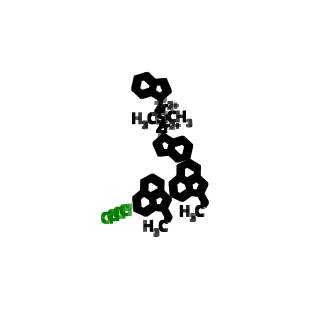 CCC1=Cc2cccc3cccc1c23.CCC1=Cc2cccc3cccc1c23.C[Si](C)([Zr+2][C@@H]1C=Cc2ccccc21)[Zr+2][C@@H]1C=Cc2ccccc21.[Cl-].[Cl-].[Cl-].[Cl-]